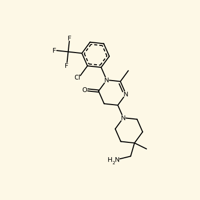 CC1=NC(N2CCC(C)(CN)CC2)CC(=O)N1c1cccc(C(F)(F)F)c1Cl